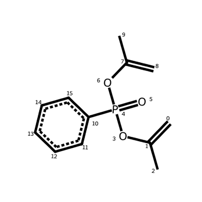 C=C(C)OP(=O)(OC(=C)C)c1ccccc1